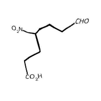 O=CCCC(CCC(=O)O)[N+](=O)[O-]